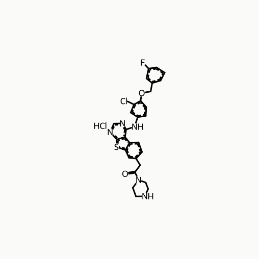 Cl.O=C(Cc1ccc2c(c1)sc1ncnc(Nc3ccc(OCc4cccc(F)c4)c(Cl)c3)c12)N1CCNCC1